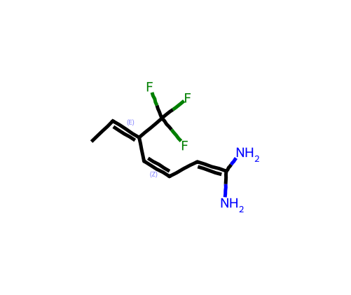 C/C=C(\C=C/C=C(N)N)C(F)(F)F